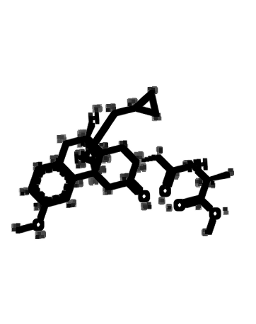 COC(=O)[C@H](C)NC(=O)C[C@H]1C[C@@]2(O)[C@H]3Cc4ccc(OC)cc4[C@@]2(CCN3CC2CC2)CC1=O